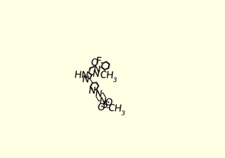 CCS(=O)(=O)N1CCN(c2ccc(-c3n[nH]c4cc(=O)n(-c5c(C)cccc5F)nc34)cn2)CC1